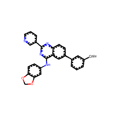 COc1cccc(-c2ccc3nc(-c4cccnc4)nc(Nc4ccc5c(c4)OCO5)c3c2)c1